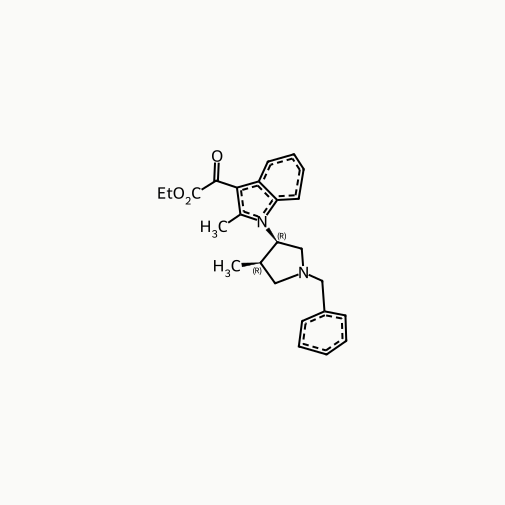 CCOC(=O)C(=O)c1c(C)n([C@H]2CN(Cc3ccccc3)C[C@H]2C)c2ccccc12